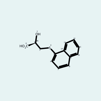 O=C(O)[C@@H](O)CSc1cccc2ccccc12